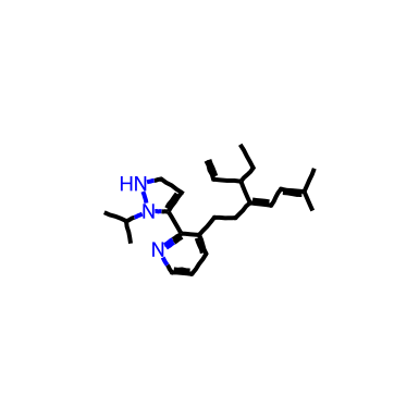 C=CC(CC)/C(=C\C=C(C)C)CCc1cccnc1C1=CCNN1C(C)C